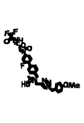 COc1ccc(Cn2cc(CN(Cc3ccc(-c4ccc(N5C[C@H](CNC(=O)C(F)F)OC5=O)cc4F)cc3)B(C)O)nn2)cc1